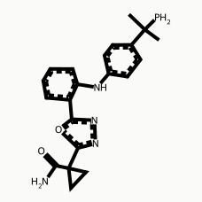 CC(C)(P)c1ccc(Nc2ccccc2-c2nnc(C3(C(N)=O)CC3)o2)cc1